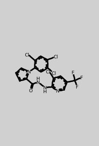 O=C(NNc1ncc(C(F)(F)F)cc1Cl)c1cccn1-c1cc(Cl)c(Cl)cc1Cl